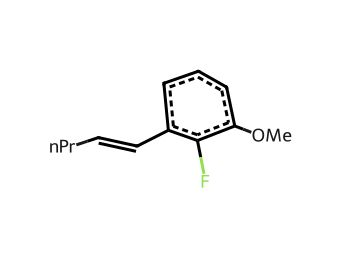 CCCC=Cc1cccc(OC)c1F